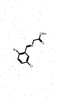 COC(=O)CN=Cc1cc(Cl)ccc1Br